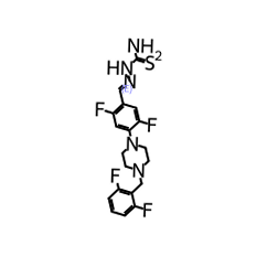 NC(=S)N/N=C/c1cc(F)c(N2CCN(Cc3c(F)cccc3F)CC2)cc1F